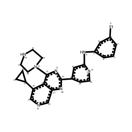 CCc1cccc(Nc2cc(-c3nc(N4CCNCC4)c4c(C5CC5)cncc4n3)ccn2)c1